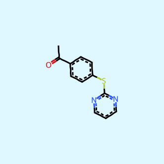 CC(=O)c1ccc(Sc2ncccn2)cc1